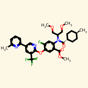 COCC(COC)N(c1cc(F)c(Oc2ncc(-c3cccc(C)n3)cc2C(F)(F)F)cc1C(=O)OC)C(=O)[C@H]1CC[C@H](C)CC1